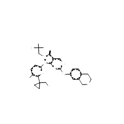 O=c1c2cnc(Nc3ccc4c(c3)CNCC4)nc2n(-c2ccc(F)c(C3(CF)CC3)n2)n1CC(F)(F)F